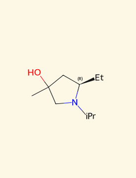 CC[C@@H]1CC(C)(O)CN1C(C)C